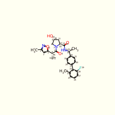 Cc1cc([C@H](C(=O)N2C[C@H](O)C[C@H]2C(=O)N[C@@H](C)c2ccc(-c3c(C)cccc3F)cc2)C(C)C)on1